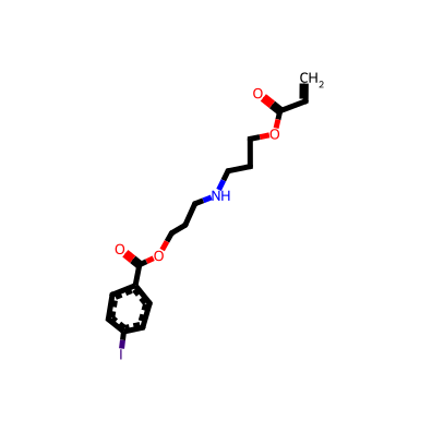 C=CC(=O)OCCCNCCCOC(=O)c1ccc(I)cc1